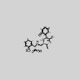 CCC(CNC(C(=O)O)c1ccccc1O)NC(C(=O)O)c1ccccc1O